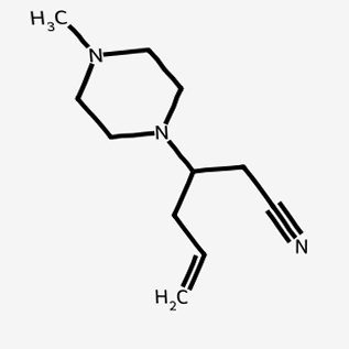 C=CCC(CC#N)N1CCN(C)CC1